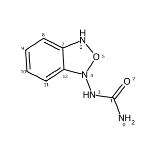 NC(=O)NN1ONc2ccccc21